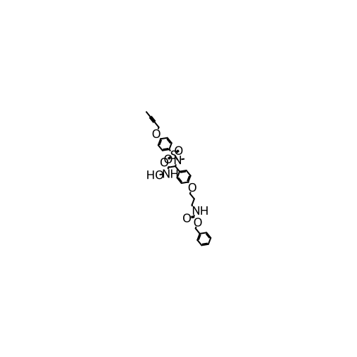 CC#CCOc1ccc(S(=O)(=O)N(C)C(C(=O)NO)c2ccc(OCCCNC(=O)OCc3ccccc3)cc2)cc1